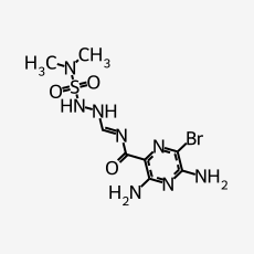 CN(C)S(=O)(=O)NNC=NC(=O)c1nc(Br)c(N)nc1N